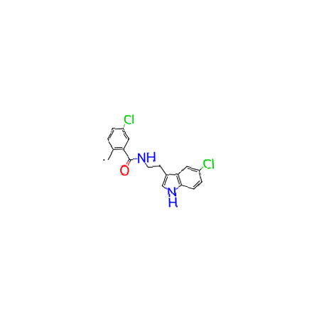 [CH2]c1ccc(Cl)cc1C(=O)NCCc1c[nH]c2ccc(Cl)cc12